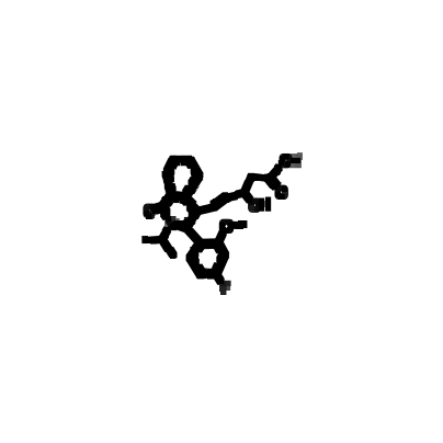 COc1cc(F)ccc1-c1c(C=CC(O)CC(=O)O)c2ccccc2c(=O)n1C(C)C